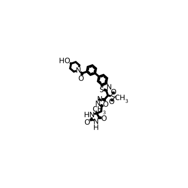 CC1(Cc2nnc(C(c3nc4ccc(-c5cccc(C(=O)N6CCC(O)CC6)c5)cc4s3)S(C)(=O)=O)o2)NC(=O)NC1=O